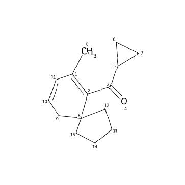 CC1=C(C(=O)C2CC2)C2(CC=C1)CCCC2